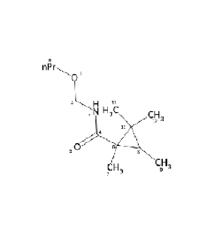 CCCOCNC(=O)C1(C)C(C)C1(C)C